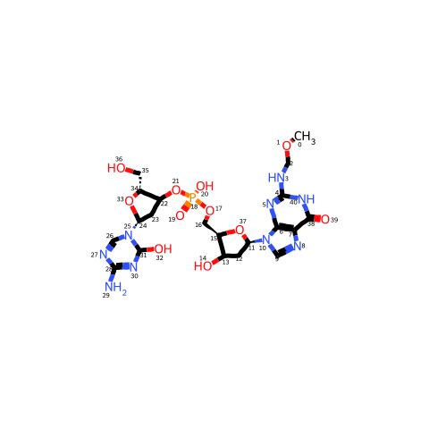 COCNc1nc2c(ncn2[C@H]2CC(O)[C@@H](COP(=O)(O)OC3C[C@H](N4C=NC(N)=NC4O)O[C@@H]3CO)O2)c(=O)[nH]1